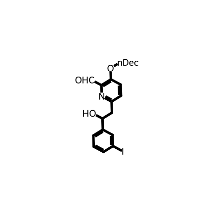 CCCCCCCCCCOc1ccc(CC(O)c2cccc(I)c2)nc1C=O